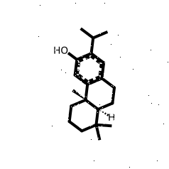 CC(C)c1cc2c(cc1O)[C@@]1(C)CCCC(C)(C)[C@@H]1CC2